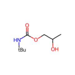 CC(O)COC(=O)NC(C)(C)C